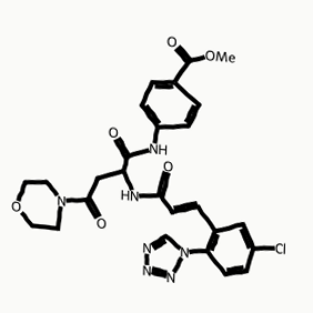 COC(=O)c1ccc(NC(=O)C(CC(=O)N2CCOCC2)NC(=O)C=Cc2cc(Cl)ccc2-n2cnnn2)cc1